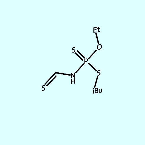 CCOP(=S)(NC=S)SC(C)CC